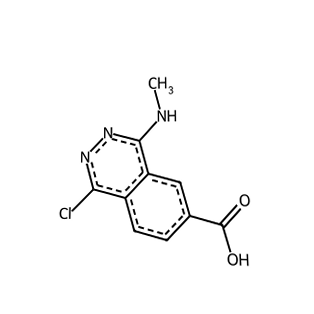 CNc1nnc(Cl)c2ccc(C(=O)O)cc12